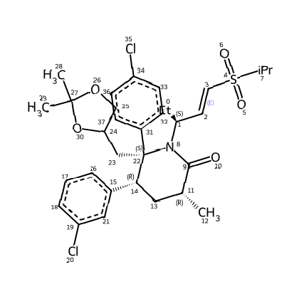 CC[C@@H](/C=C/S(=O)(=O)C(C)C)N1C(=O)[C@H](C)C[C@H](c2cccc(Cl)c2)[C@@]1(CC1COC(C)(C)O1)c1ccc(Cl)cc1